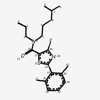 CCCN(CCCC(C)C)C(=O)c1sc(-c2c(C)cccc2C)nc1C